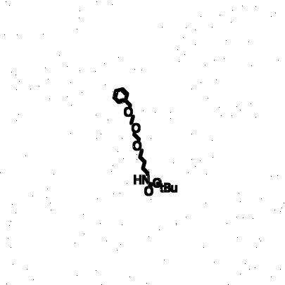 CC(C)(C)OC(=O)NCCCCCOCCOCCOCc1ccccc1